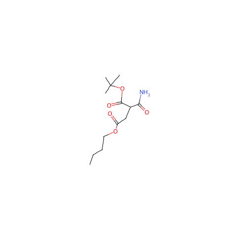 CCCCOC(=O)CC(C(N)=O)C(=O)OC(C)(C)C